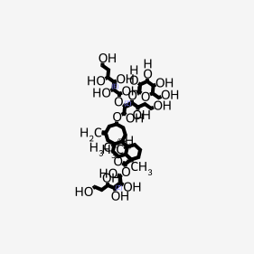 C=C1CC(OC(O)/C(OC(O)/C(O)=C(\O)C(O)CCO)=C(/OC2OC(CO)C(O)C(O)C2O)C(O)CCO)CC[C@@H]2[C@](C)(CCC3[C@](C)(C(=O)OC(O)/C(O)=C(/O)C(O)CCO)CCC[C@]32C)C1